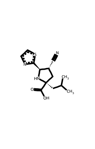 CC(C)C[C@@]1(C(=O)O)C[C@@H](C#N)[C@H](c2nccs2)N1